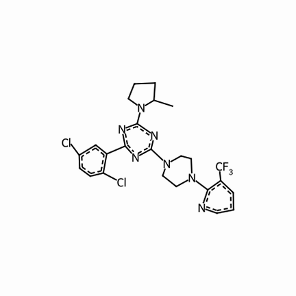 CC1CCCN1c1nc(-c2cc(Cl)ccc2Cl)nc(N2CCN(c3ncccc3C(F)(F)F)CC2)n1